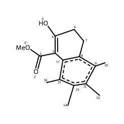 COC(=O)C1=C(O)CCc2c(C)c(C)c(C)c(C)c21